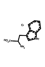 NC(Cc1c[nH]c2ccccc12)C(=O)O.[Cr]